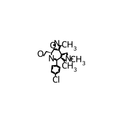 Cc1noc2c1-c1cn(C)c(C)c1C(c1ccc(Cl)cc1)=N[C@H]2CC=O